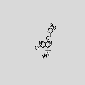 CC(C)(N=[N+]=[N-])c1cnc(OCC2CCS(=O)(=O)C2)c2cnc(Cl)cc12